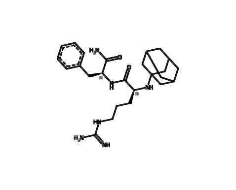 N=C(N)NCCC[C@H](NC12CC3CC(CC(C3)C1)C2)C(=O)N[C@@H](Cc1ccccc1)C(N)=O